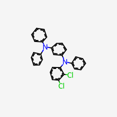 Clc1cccc(N(c2ccccc2)c2cccc(N(c3ccccc3)c3ccccc3)c2)c1Cl